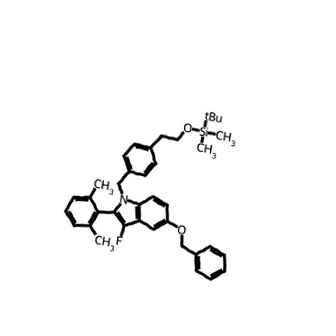 Cc1cccc(C)c1-c1c(F)c2cc(OCc3ccccc3)ccc2n1Cc1ccc(CCO[Si](C)(C)C(C)(C)C)cc1